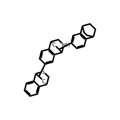 c1ccc2c(c1)C1CSC2C(c2ccc3c(c2)C2NCC3CC2c2ccc3c(c2)C2CCC3CC2)C1